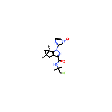 CC(C)(CF)NC(=O)c1nn(-c2c[n+]([O-])ccn2)c2c1C[C@@H]1C[C@H]21